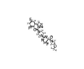 CC(C)OC1CN(C(=O)c2nc(N3CCN(C(=O)N4N=CC[C@H]4c4cc(F)cc(F)c4)CC3)ncc2F)C1